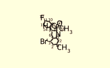 Cc1cc(Br)c2cc(-c3ccc(F)cc3)c(P(C)(C)=O)nc2c1